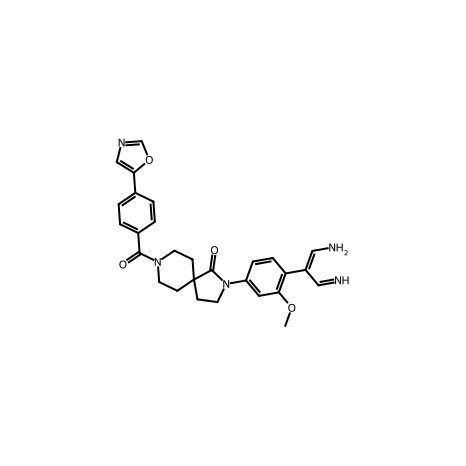 COc1cc(N2CCC3(CCN(C(=O)c4ccc(-c5cnco5)cc4)CC3)C2=O)ccc1/C(C=N)=C/N